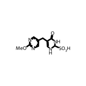 COc1ncc(CC2=CNC(S(=O)(=O)O)NC2=O)cn1